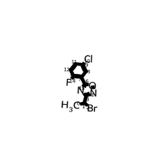 CC(Br)c1noc(-c2cc(Cl)ccc2F)n1